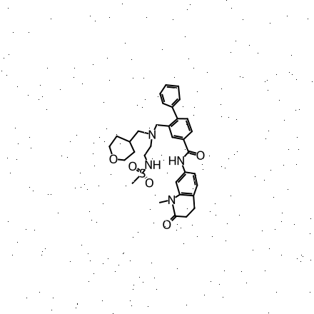 CN1C(=O)CCc2ccc(NC(=O)c3ccc(-c4ccccc4)c(CN(CCNS(C)(=O)=O)CC4CCOCC4)c3)cc21